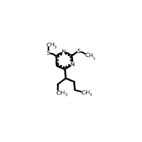 CCCC(CC)c1cc(SC)nc(SC)n1